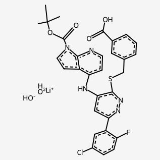 CC(C)(C)OC(=O)n1ccc2c(Nc3cc(-c4cc(Cl)ccc4F)nnc3SCc3cccc(C(=O)O)c3)ccnc21.O.[Li+].[OH-]